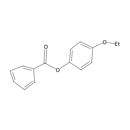 CCOc1ccc(OC(=O)c2ccccc2)cc1